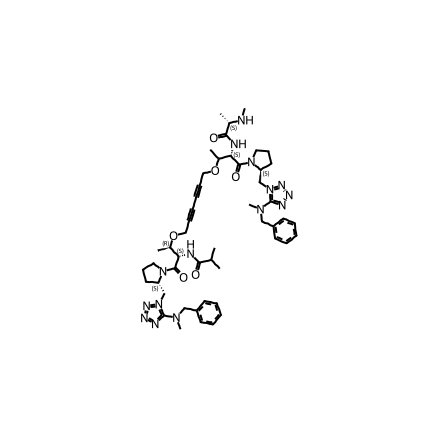 CN[C@@H](C)C(=O)N[C@H](C(=O)N1CCC[C@H]1Cn1nnnc1N(C)Cc1ccccc1)C(C)OCC#CC#CCO[C@H](C)[C@H](NC(=O)C(C)C)C(=O)N1CCC[C@H]1Cn1nnnc1N(C)Cc1ccccc1